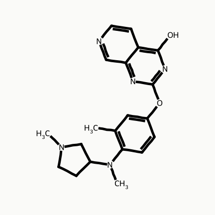 Cc1cc(Oc2nc(O)c3ccncc3n2)ccc1N(C)C1CCN(C)C1